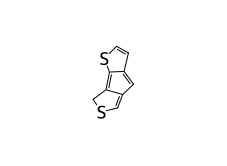 C1=C2C=c3ccsc3=C2CS1